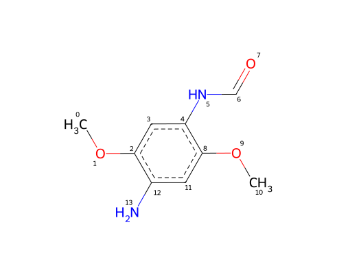 COc1cc(NC=O)c(OC)cc1N